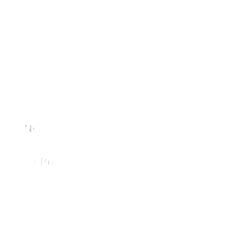 CCCCC1(C#N)C=CC(c2ccccc2)=CC1